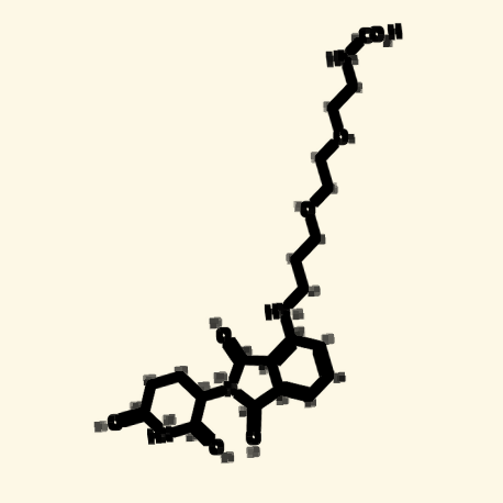 O=C(O)NCCOCCOCCCNc1cccc2c1C(=O)N(C1CCC(=O)NC1=O)C2=O